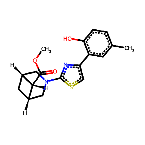 COC(=O)[C@H]1[C@@H]2C[C@H]1CN(c1nc(-c3cc(C)ccc3O)cs1)C2